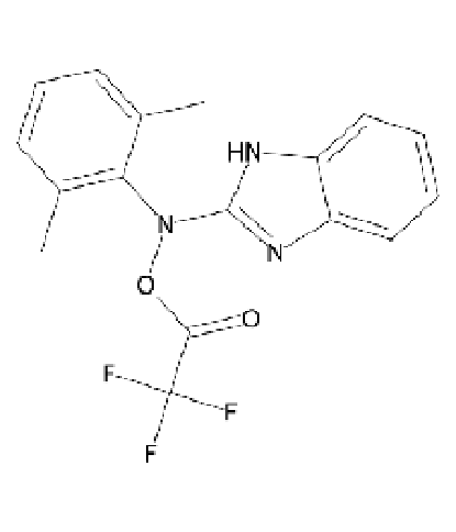 Cc1cccc(C)c1N(OC(=O)C(F)(F)F)c1nc2ccccc2[nH]1